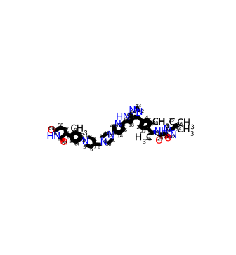 Cc1cc(N2CCC(CN3CCN(c4ccc(-c5cc6c(-c7ccc([C@@H](C)NC(=O)c8nc(C(C)(C)C)no8)c(C)c7)ncnc6[nH]5)nc4)CC3)CC2)ccc1C1CCC(=O)NC1=O